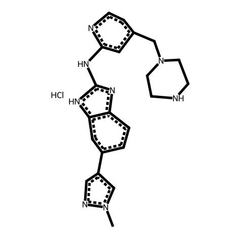 Cl.Cn1cc(-c2ccc3nc(Nc4cc(CN5CCNCC5)ccn4)[nH]c3c2)cn1